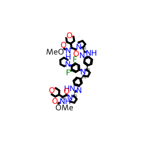 COC(=O)NC(C(=O)N1CCC[C@H]1c1nc2cc([C@H]3CC[C@@H](c4ccc5[nH]c([C@@H]6CCCN6C(=O)[C@@H](NC(=O)OC)C6CCOCC6)nc5c4)N3c3cc(F)c(N4CCCCC4)c(F)c3)ccc2[nH]1)C1CCOCC1